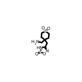 NCC1(CC2=NOS(=O)N2)CCS(=O)(=O)CC1